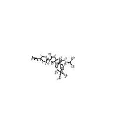 Cc1cc(C#N)ccc1-c1ccc(CN(CCC(C)C)C(=O)OC(C)(C)C)cc1C